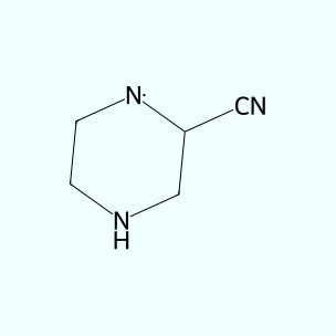 N#CC1CNCC[N]1